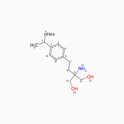 CCCCCCC(C)c1ccc(CCC(N)(CO)CO)cc1